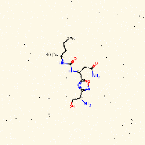 CSCC[C@H](NC(=O)N[C@@H](CC(N)=O)c1nc([C@H](N)CO)no1)C(=O)O